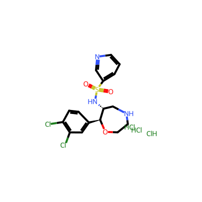 Cl.Cl.Cl.O=S(=O)(N[C@@H]1CNCCO[C@H]1c1ccc(Cl)c(Cl)c1)c1cccnc1